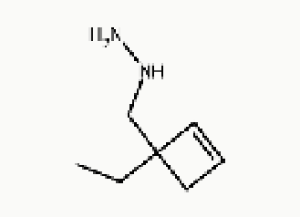 CCC1(CNN)C=CC1